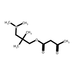 CC(=O)CC(=O)OCC(C)(C)CN(C)C